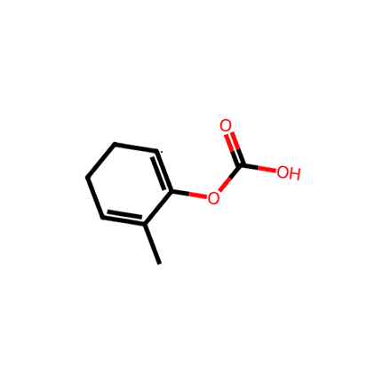 CC1=CCC[C]=C1OC(=O)O